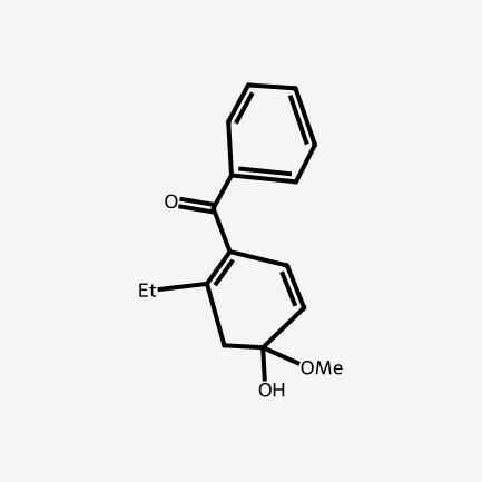 CCC1=C(C(=O)c2ccccc2)C=CC(O)(OC)C1